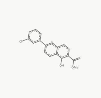 COC(=O)c1ncc2nc(-c3cccc(Cl)c3)ccc2c1O